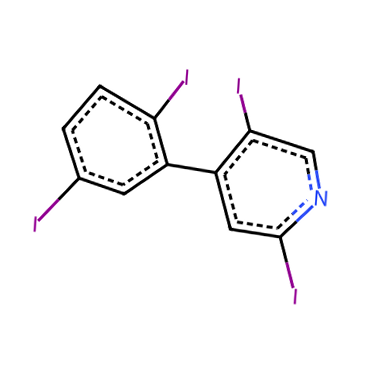 Ic1ccc(I)c(-c2cc(I)ncc2I)c1